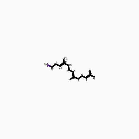 CC(C)=CCCC(C)=CCCC(C)=CCCI